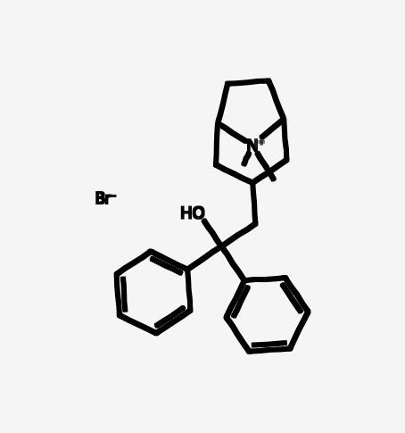 C[N+]1(C)C2CCC1CC(CC(O)(c1ccccc1)c1ccccc1)C2.[Br-]